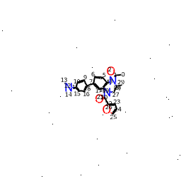 CC(=O)N1c2ccc(-c3ccc(N(C)C)cc3)cc2N(C(=O)c2ccco2)C[C@@H]1C